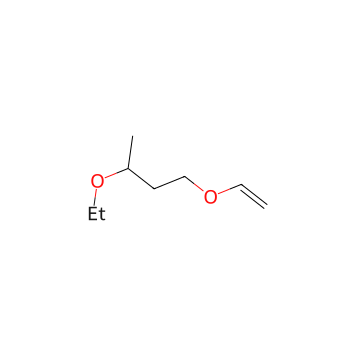 C=COCCC(C)OCC